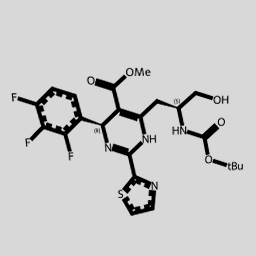 COC(=O)C1=C(C[C@@H](CO)NC(=O)OC(C)(C)C)NC(c2nccs2)=N[C@H]1c1ccc(F)c(F)c1F